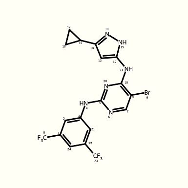 FC(F)(F)c1cc(Nc2ncc(Br)c(Nc3cc(C4CC4)n[nH]3)n2)cc(C(F)(F)F)c1